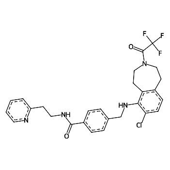 O=C(NCCc1ccccn1)c1ccc(CNc2c(Cl)ccc3c2CCN(C(=O)C(F)(F)F)CC3)cc1